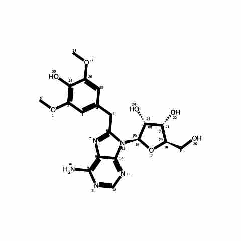 COc1cc(Cc2nc3c(N)ncnc3n2[C@@H]2O[C@H](CO)[C@@H](O)[C@H]2O)cc(OC)c1O